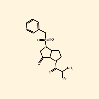 CCCC(N)C(=O)N1CCC2C1C(=O)CN2S(=O)(=O)Cc1cccnc1